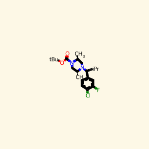 CC(C)C(c1ccc(Cl)c(F)c1)N1C[C@H](C)N(C(=O)OC(C)(C)C)C[C@H]1C